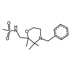 CC1(CNS(C)(=O)=O)OCCN(Cc2ccccc2)C1(C)C